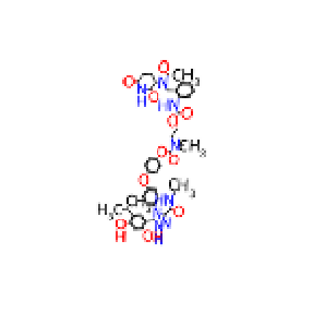 CCNC(=O)C1=NNC(c2cc(C(C)C)c(O)cc2O)N1c1ccc(Oc2ccc(OC(=O)N(C)CCOC(=O)Nc3cccc(C)c3CN(C=O)C3CCC(=O)NC3=O)cc2)cc1